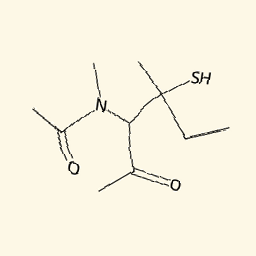 CCC(C)(S)C(C(C)=O)N(C)C(C)=O